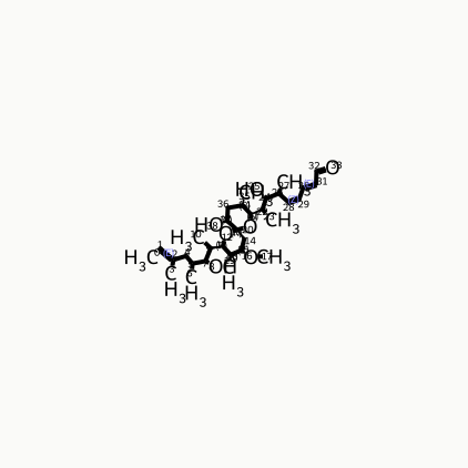 C/C=C(\C)CC(C)C(O)C(C)[C@H]1O[C@@]2(C[C@@H](OC)[C@H]1C)O[C@H](C(C)C(O)C(C)/C=C\C=C\C=O)[C@@H](C)C[C@@H]2O